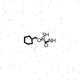 CNC(=O)N(S)OCC1CCCCC1